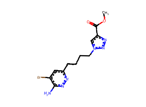 COC(=O)c1cn(CCCCc2cc(Br)c(N)nn2)nn1